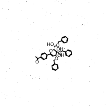 CC(=O)c1ccc(C2=C[C@](O)(OCc3ccccc3)[C@@](O)(OCc3ccccc3)[C@@H](C(O)OCc3ccccc3)O2)cc1